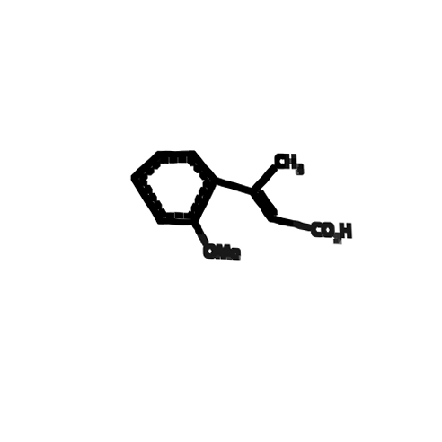 COc1ccccc1C(C)=CC(=O)O